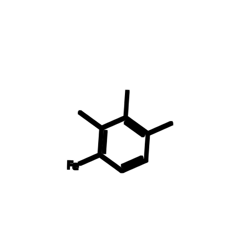 Cc1cc[c]([Fe])c(C)c1C